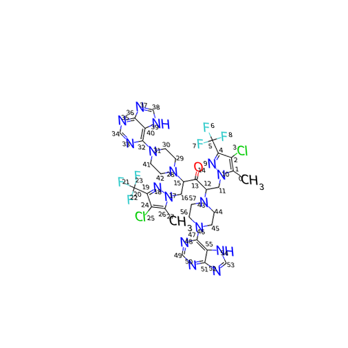 Cc1c(Cl)c(C(F)(F)F)nn1CC(C(=O)C(Cn1nc(C(F)(F)F)c(Cl)c1C)N1CCN(c2ncnc3nc[nH]c23)CC1)N1CCN(c2ncnc3nc[nH]c23)CC1